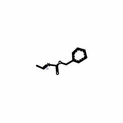 C/C=N/C(=O)OCc1ccccc1